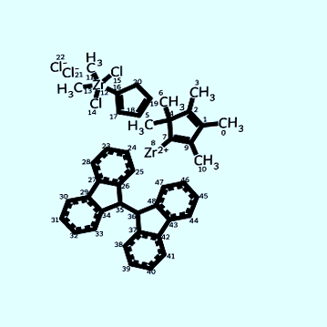 CC1=C(C)C(C)(C)[C]([Zr+2])=C1C.[CH3][Zr]([CH3])([Cl])([Cl])[C]1=CC=CC1.[Cl-].[Cl-].c1ccc2c(c1)-c1ccccc1C2C1c2ccccc2-c2ccccc21